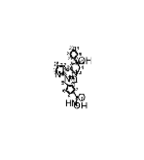 O=C(NO)c1ccc(CN(C(=O)N2CCC(O)(c3ccccc3)CC2)c2ncccn2)cc1